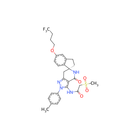 Cc1ccc(-n2nc3c(c2NC(=O)CS(C)(=O)=O)C(=O)N[C@@]2(CCc4cc(OCCCC(F)(F)F)ccc42)C3)cc1